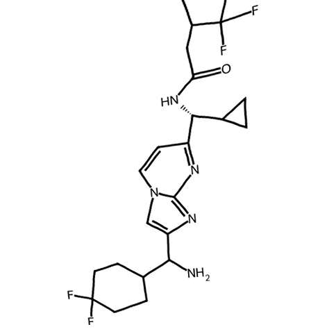 CC(CC(=O)N[C@@H](c1ccn2cc(C(N)C3CCC(F)(F)CC3)nc2n1)C1CC1)C(F)(F)F